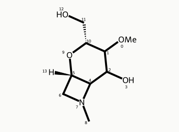 COC1C(O)C2[C@H](CN2C)O[C@@H]1CO